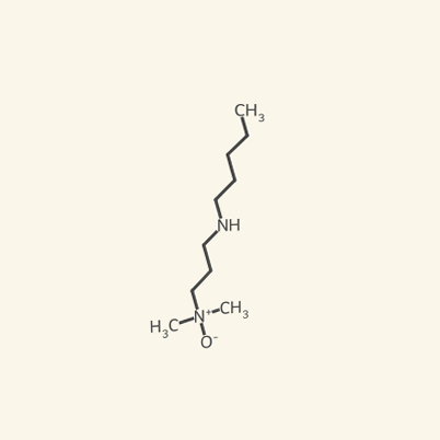 CCCCCNCCC[N+](C)(C)[O-]